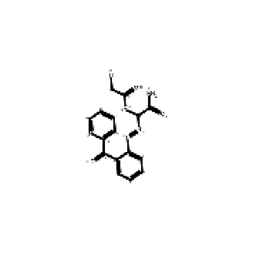 NC(=O)C(N=Nc1ccccc1C(=O)c1ccccn1)NC(=O)CCl